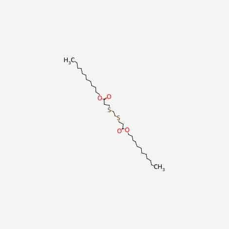 CCCCCCCCCCCCOC(=O)CCSCCSCCC(=O)OCCCCCCCCCCCC